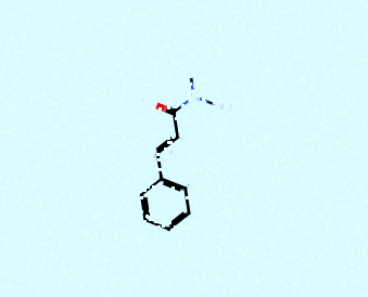 CCCN(CCC)C(=O)/C=C/c1ccccc1